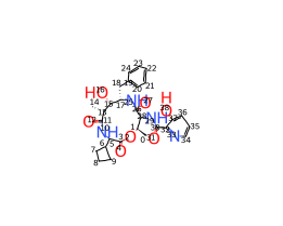 C[C@H]1OC(=O)C(C2CCC2)NC(=O)[C@H](C)[C@H](O)[C@H](Cc2ccccc2)NC(=O)[C@H]1NC(=O)c1ncccc1O